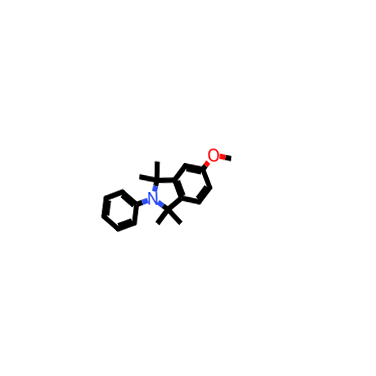 COc1ccc2c(c1)C(C)(C)N(c1ccccc1)C2(C)C